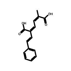 CC(=CC=C(C=Cc1ccccc1)C(=O)O)C(=O)O